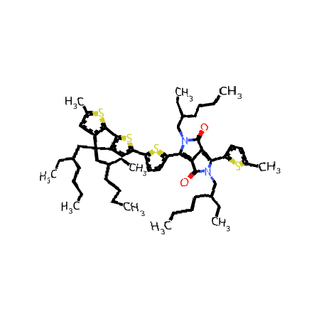 CCCCC(CC)CN1C(=O)C2=C(c3ccc(-c4cc5c(s4)-c4sc(C)cc4C5(CC(CC)CCCC)CC(CC)CCCC)s3)N(CC(CC)CCCC)C(=O)C2=C1c1ccc(C)s1